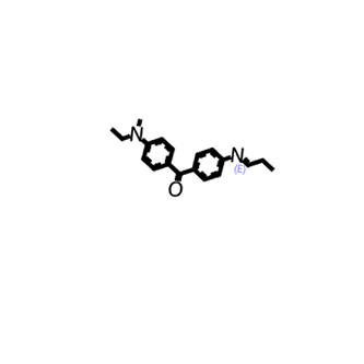 CC/C=N/c1ccc(C(=O)c2ccc(N(C)CC)cc2)cc1